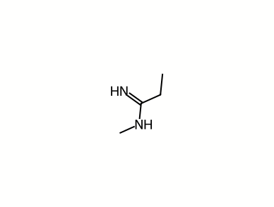 CCC(=N)NC